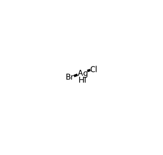 I.[Cl][Ag][Br]